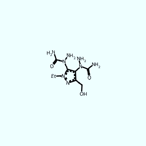 CCn1nc(CO)c(N(N)C(N)=O)c1N(N)C(N)=O